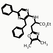 CCOC(=O)C(Cc1nc(C)c(C)o1)Nc1ncc(-c2ccccc2)nc1Cc1ccccc1